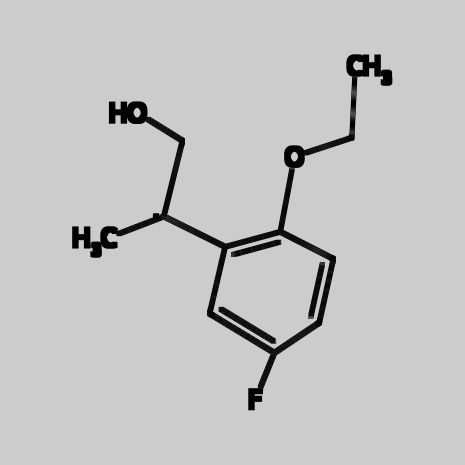 CCOc1ccc(F)cc1[C](C)CO